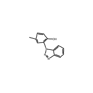 Cc1ccc(O)c(-n2nnc3ccccc32)c1